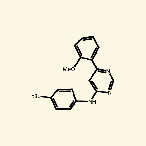 COc1ccccc1-c1cc(Nc2ccc(C(C)(C)C)cc2)ncn1